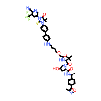 Cc1ncoc1-c1ccc([C@H](C)NC(=O)[C@@H]2C[C@@H](O)CN2C(=O)C(NC(=O)COCCCCNc2ccc(-c3ccc(N4C(=S)N(c5cnc(C#N)c(C(F)(F)F)c5)C(=O)C4(C)C)cc3)cc2)C(C)(C)C)cc1